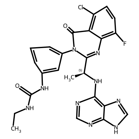 CCNC(=O)Nc1cccc(-n2c([C@H](C)Nc3ncnc4[nH]cnc34)nc3c(F)ccc(Cl)c3c2=O)c1